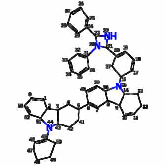 C1=CC2C3CC(C4=CC5C6C=CCCC6N(C6C=CC=C(C7NC(c8ccccc8)N7c7ccccc7)C6)C5C=C4)CCC3N(C3=CCCCC3)C2C=C1